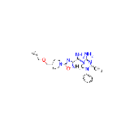 C=C(/N=C(N)\N=C(/N)c1noc(N2CCC(COCC3CC3)CC2)n1)N(C)c1ccccc1